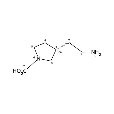 NCC[C@H]1CCN(C(=O)O)C1